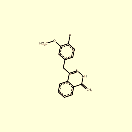 C=C1NN=C(Cc2ccc(F)c(OC(=O)O)c2)c2ccccc21